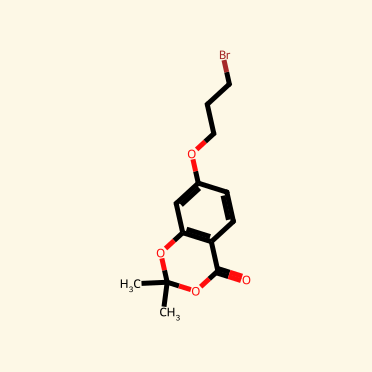 CC1(C)OC(=O)c2ccc(OCCCBr)cc2O1